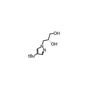 CC(C)(C)c1cnn(C[C@@H](O)CO)c1